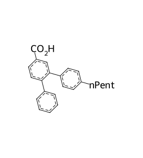 CCCCCc1ccc(-c2cc(C(=O)O)ccc2-c2ccccc2)cc1